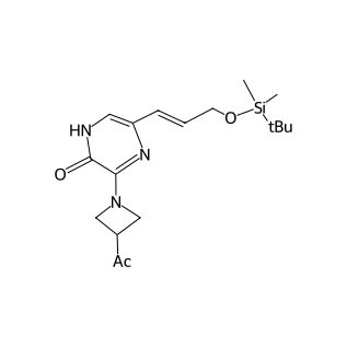 CC(=O)C1CN(c2nc(/C=C/CO[Si](C)(C)C(C)(C)C)c[nH]c2=O)C1